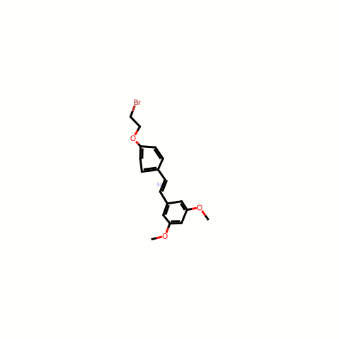 COc1cc(/C=C/c2ccc(OCCBr)cc2)cc(OC)c1